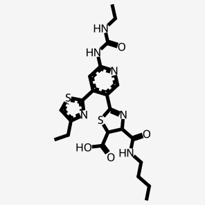 CCCCNC(=O)C1N=C(c2cnc(NC(=O)NCC)cc2-c2nc(CC)cs2)SC1C(=O)O